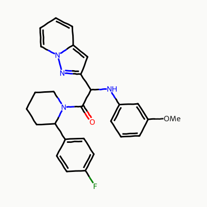 COc1cccc(NC(C(=O)N2CCCCC2c2ccc(F)cc2)c2cc3ccccn3n2)c1